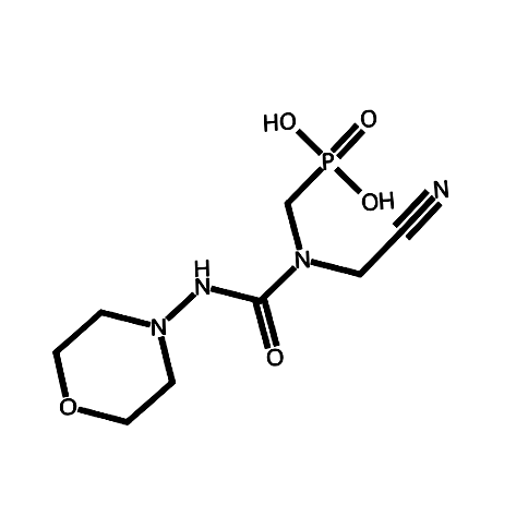 N#CCN(CP(=O)(O)O)C(=O)NN1CCOCC1